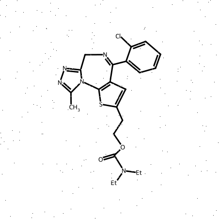 CCN(CC)C(=O)OCCc1cc2c(s1)-n1c(C)nnc1CN=C2c1ccccc1Cl